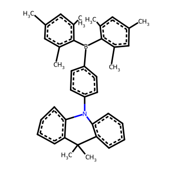 Cc1cc(C)c(B(c2ccc(N3c4ccccc4C(C)(C)c4ccccc43)cc2)c2c(C)cc(C)cc2C)c(C)c1